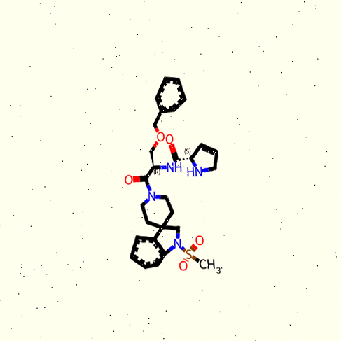 CS(=O)(=O)N1CC2(CCN(C(=O)[C@@H](COCc3ccccc3)NC(=O)[C@@H]3C=CCN3)CC2)c2ccccc21